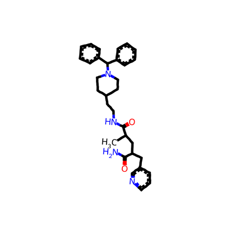 CC(CC(Cc1cccnc1)C(N)=O)C(=O)NCCC1CCN(C(c2ccccc2)c2ccccc2)CC1